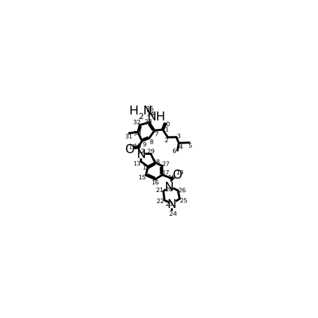 C=C(CCC(C)C)c1cc(C(=O)N2Cc3ccc(C(=O)N4CCN(C)CC4)cc3C2)c(C)cc1NN